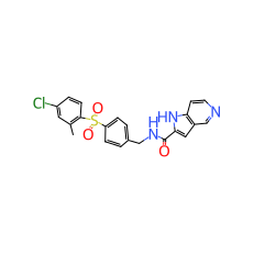 Cc1cc(Cl)ccc1S(=O)(=O)c1ccc(CNC(=O)c2cc3cnccc3[nH]2)cc1